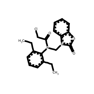 CCc1cccc(CC)c1N(Cn1c(=O)sc2ccccc21)C(=O)CCl